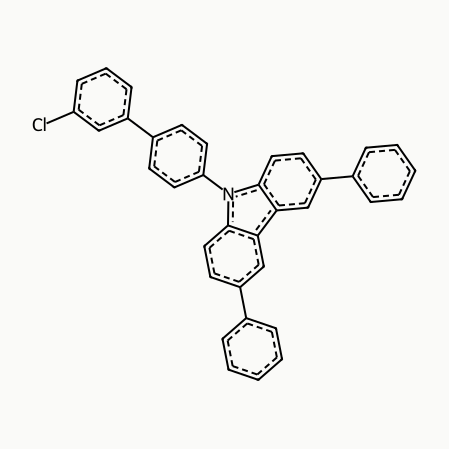 Clc1cccc(-c2ccc(-n3c4ccc(-c5ccccc5)cc4c4cc(-c5ccccc5)ccc43)cc2)c1